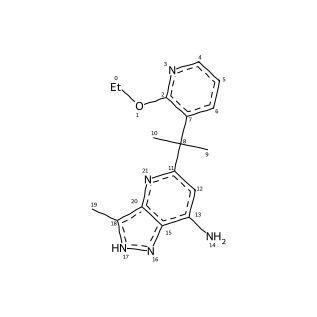 CCOc1ncccc1C(C)(C)c1cc(N)c2n[nH]c(C)c2n1